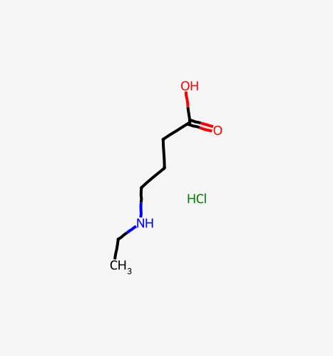 CCNCCCC(=O)O.Cl